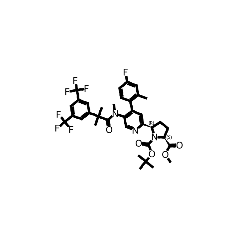 COC(=O)[C@@H]1CC[C@H](c2cc(-c3ccc(F)cc3C)c(N(C)C(=O)C(C)(C)c3cc(C(F)(F)F)cc(C(F)(F)F)c3)cn2)N1C(=O)OC(C)(C)C